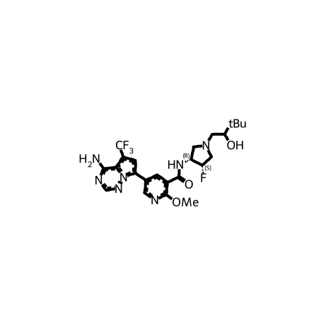 COc1ncc(-c2cc(C(F)(F)F)c3c(N)ncnn23)cc1C(=O)N[C@@H]1CN(CC(O)C(C)(C)C)C[C@@H]1F